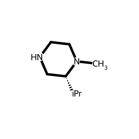 CC(C)[C@@H]1CNCCN1C